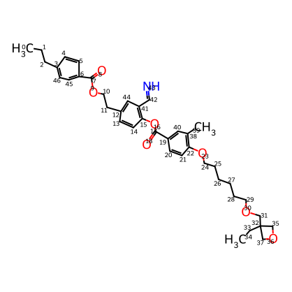 CCCc1ccc(C(=O)OCCc2ccc(OC(=O)c3ccc(OCCCCCCOCC4(CC)COC4)c(C)c3)c(C=N)c2)cc1